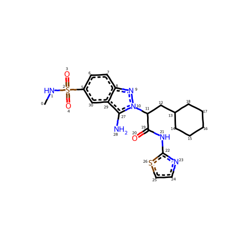 CNS(=O)(=O)c1ccc2nn(C(CC3CCCCC3)C(=O)Nc3nccs3)c(N)c2c1